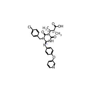 C[C@@H](C(=O)O)[C@H](C)n1c(=O)[nH]/c(=N\c2ccc(Oc3cccnc3)cc2)n(Cc2ccc(Cl)cc2)c1=O